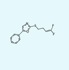 FC(F)=CCCSc1ncc(-c2ccccc2)o1